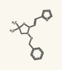 CC1(C)CN(OCc2ccccc2)C(C=Cc2ccco2)O1